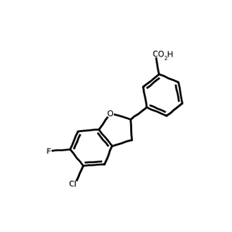 O=C(O)c1cccc(C2Cc3cc(Cl)c(F)cc3O2)c1